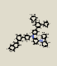 c1ccc(-c2cc(-c3ccccc3)cc(-c3ccc(N(c4ccc(-c5cccc(-c6ccc7ccccc7c6)c5)cc4)c4cccc(-n5c6ccccc6c6ccccc65)c4)cc3)c2)cc1